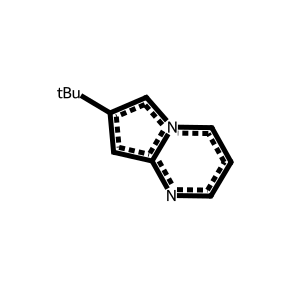 CC(C)(C)c1cc2ncccn2c1